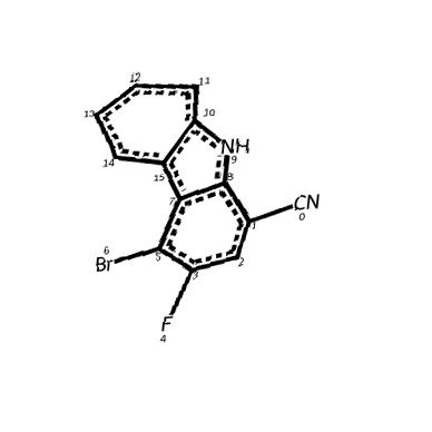 N#Cc1cc(F)c(Br)c2c1[nH]c1ccccc12